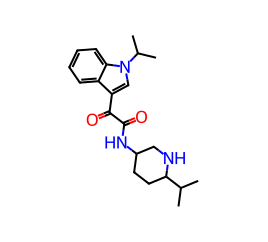 CC(C)C1CCC(NC(=O)C(=O)c2cn(C(C)C)c3ccccc23)CN1